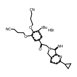 Br.CC(C)(C)c1cc(C(=O)CN2Cc3ccc(C4CC4)nc3C2=N)cc(OCCCC#N)c1OCCCC#N